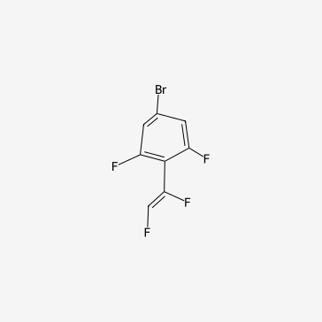 FC=C(F)c1c(F)cc(Br)cc1F